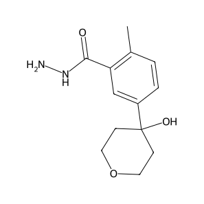 Cc1ccc(C2(O)CCOCC2)cc1C(=O)NN